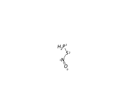 O=NSP